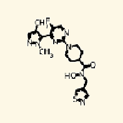 Cc1cnn(C)c1-c1nc(N2CCC(C(=O)N(O)Cc3cnsc3)CC2)ncc1F